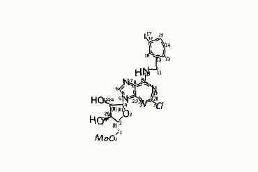 COC[C@H]1O[C@@H](n2cnc3c(NCc4cccc(I)c4)nc(Cl)nc32)[C@H](O)[C@@H]1O